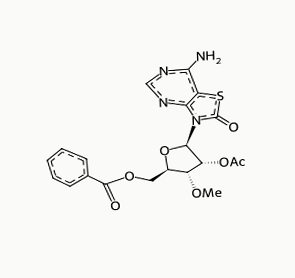 CO[C@H]1[C@@H](OC(C)=O)[C@H](n2c(=O)sc3c(N)ncnc32)O[C@@H]1COC(=O)c1ccccc1